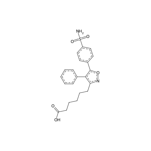 NS(=O)(=O)c1ccc(-c2onc(CCCCCC(=O)O)c2-c2ccccc2)cc1